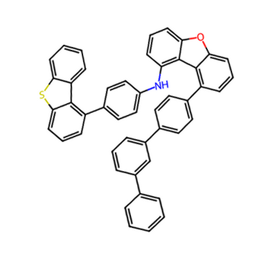 c1ccc(-c2cccc(-c3ccc(-c4cccc5oc6cccc(Nc7ccc(-c8cccc9sc%10ccccc%10c89)cc7)c6c45)cc3)c2)cc1